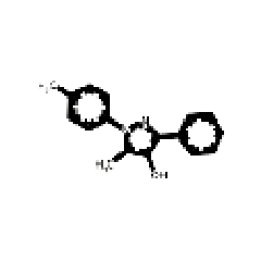 Cc1ccc(-n2nc(-c3ccccc3)c(O)c2C)cc1